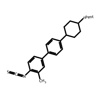 CCCCCC1CCC(c2ccc(-c3ccc(N=C=S)c(C)c3)cc2)CC1